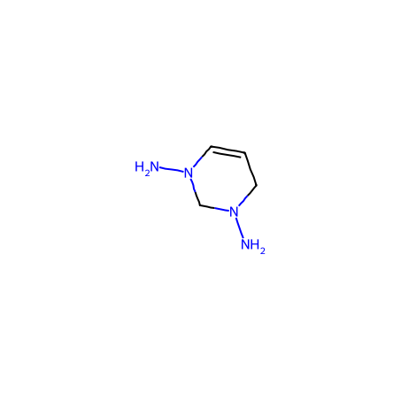 NN1C=CCN(N)C1